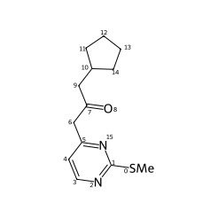 CSc1nccc(CC(=O)CC2CCCC2)n1